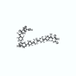 Cc1cc(-c2n[nH]c3ncc(-c4ccc(N5CCN(C6CCN(c7ccc(NC8CCC(=O)NC8=O)cc7)CC6)CC5)cc4)cc23)ccc1[C@@H](C)NC(=O)c1noc(C(C)(C)C)n1